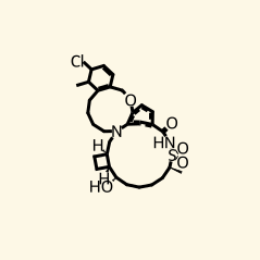 CC1C2=C(C=CC1Cl)COc1ccc3cc1N(CCCC2)C[C@@H]1CC[C@H]1[C@@H](O)CCCC[C@H](C)S(=O)(=O)NC3=O